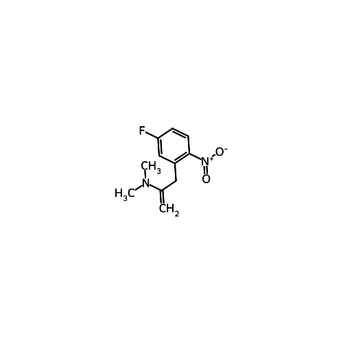 C=C(Cc1cc(F)ccc1[N+](=O)[O-])N(C)C